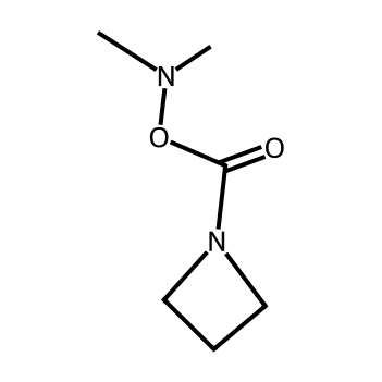 CN(C)OC(=O)N1CCC1